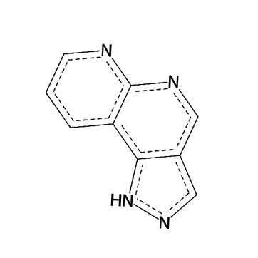 c1cnc2ncc3cn[nH]c3c2c1